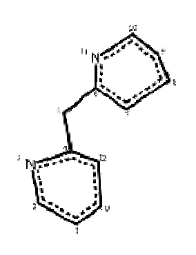 [c]1ccnc(Cc2ccccn2)c1